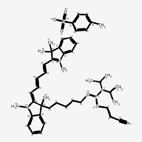 CC(C)N(C(C)C)P(OCCC#N)OCCCCCC1(C)\C(=C/C=C/C=C/C2=[N+](C)c3ccccc3C2(C)C)N(C)c2ccccc21.Cc1ccc(S(=O)(=O)[O-])cc1